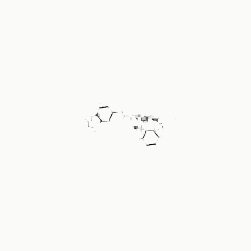 CS(=O)(=O)c1ccccc1S(=O)(=O)NOCc1ccc2c(c1)OCO2